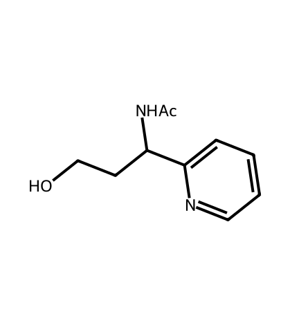 CC(=O)NC(CCO)c1ccccn1